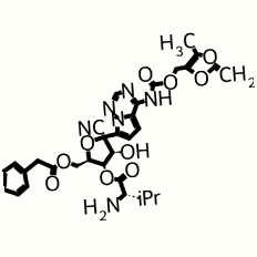 C=C1OC(C)=C(COC(=O)Nc2ncnn3c([C@]4(C#N)O[C@H](COC(=O)Cc5ccccc5)[C@@H](OC(=O)[C@@H](N)C(C)C)[C@H]4O)ccc23)O1